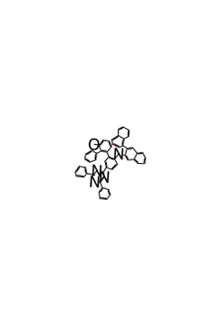 c1ccc(-c2nc(-c3ccccc3)nc(-c3ccc(-n4c5cc6ccccc6cc5c5c6ccccc6ccc54)c(-c4cccc5oc6ccccc6c45)c3)n2)cc1